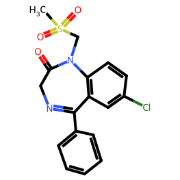 CS(=O)(=O)CN1C(=O)CN=C(c2ccccc2)c2cc(Cl)ccc21